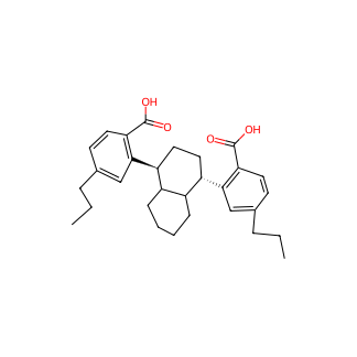 CCCc1ccc(C(=O)O)c([C@H]2CC[C@H](c3cc(CCC)ccc3C(=O)O)C3CCCCC32)c1